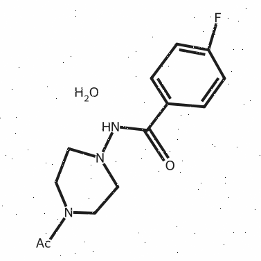 CC(=O)N1CCN(NC(=O)c2ccc(F)cc2)CC1.O